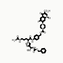 CCn1cc(C(=O)O)c(=O)c2cc(F)c(N3CCN(C(=O)OCc4ccc(NC(=O)C(CCCNC(N)=O)n5cc([C@@H](NC(=O)OCc6ccccc6)C(C)(C)C)nn5)cc4)CC3)cc21